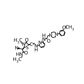 CCNC(=O)/C(C#N)=c1\sc(=C=CNc2cccc(NC(=O)CN3CCN(c4cccc(OC)c4)CC3)n2)c(=O)n1CC